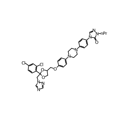 CCCn1ncn(-c2ccc(N3CCN(c4ccc(OCC5COC(Cn6cncn6)(c6ccc(Cl)cc6Cl)O5)cc4)CC3)cc2)c1=O